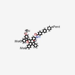 CCCCC[C@H]1CC[C@H](c2ccc(-c3ccc(C(=O)Nc4ccc(C5=CC(c6ccc(OC)cc6)(c6ccc(OC[C@@H](C)CC)cc6)Oc6c5c5c(c7ccc(OC)cc67)-c6ccccc6C5(C)C)cc4)cc3)cc2)CC1